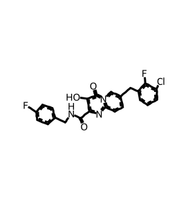 O=C(NCc1ccc(F)cc1)c1nc2ccc(Cc3cccc(Cl)c3F)cn2c(=O)c1O